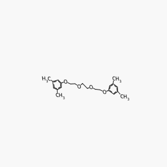 Cc1cc(C)cc(OCCOCCOCCOc2cc(C)cc(C)c2)c1